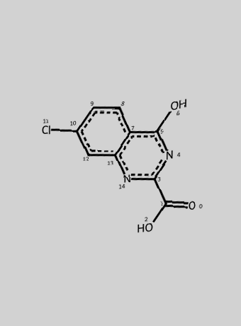 O=C(O)c1nc(O)c2ccc(Cl)cc2n1